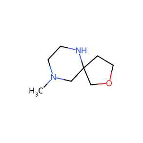 CN1CCNC2(CCOC2)C1